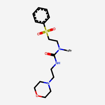 CCCN(CCS(=O)(=O)c1ccccc1)C(=O)NCCN1CCOCC1